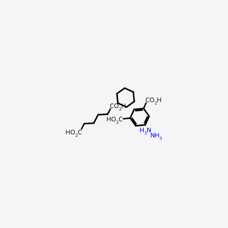 C1CCCCC1.N.N.O=C(O)CCCCC(=O)O.O=C(O)c1cccc(C(=O)O)c1